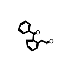 O=[C]Cc1ccccc1C(=O)c1ccccc1